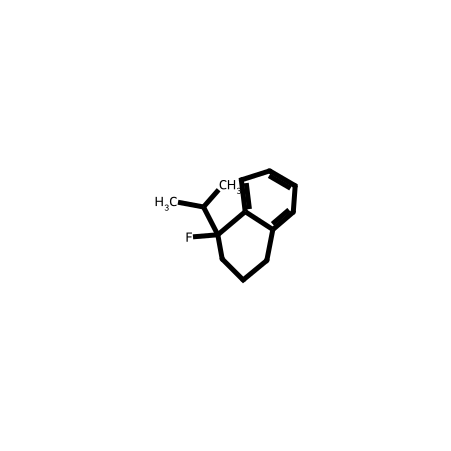 CC(C)C1(F)CCCc2ccccc21